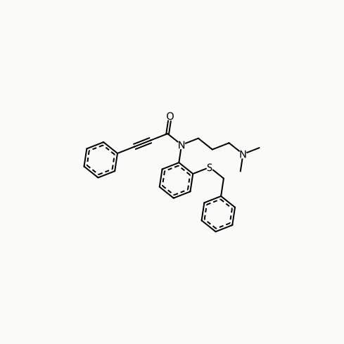 CN(C)CCCN(C(=O)C#Cc1ccccc1)c1ccccc1SCc1ccccc1